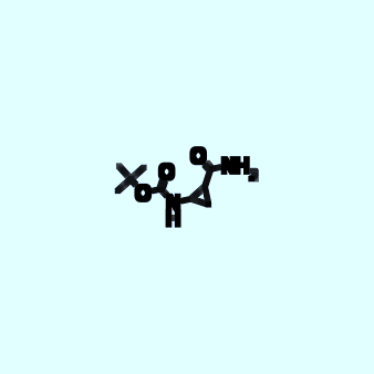 CC(C)(C)OC(=O)NC1CC1C(N)=O